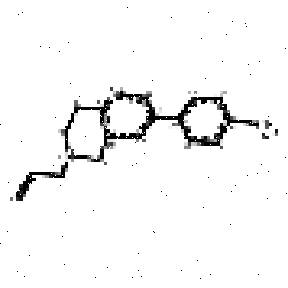 C=CCN1CCc2ncc(-c3ccc(C(F)(F)F)cc3)cc2C1